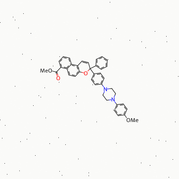 COC(=O)c1cccc2c3c(ccc12)OC(c1ccccc1)(c1ccc(N2CCN(c4ccc(OC)cc4)CC2)cc1)C=C3